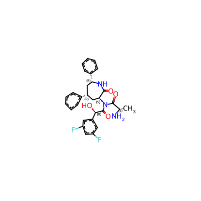 C[C@H](N)C(=O)N(C(=O)[C@H](O)c1cc(F)cc(F)c1)[C@H]1C[C@H](c2ccccc2)C[C@H](c2ccccc2)NC1=O